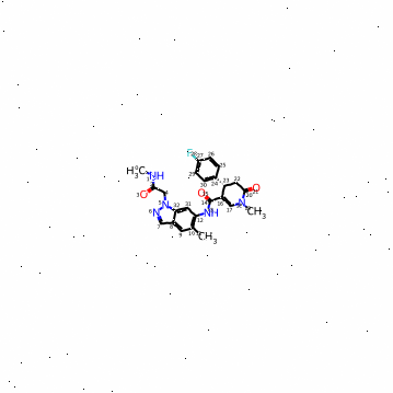 CNC(=O)Cn1ncc2cc(C)c(NC(=O)C3=CN(C)C(=O)C[C@H]3c3ccc(F)cc3)cc21